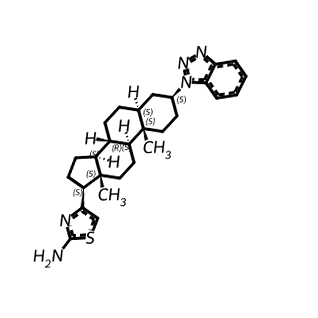 C[C@]12CC[C@H](n3nnc4ccccc43)C[C@@H]1CC[C@@H]1[C@@H]2CC[C@]2(C)[C@@H](c3csc(N)n3)CC[C@@H]12